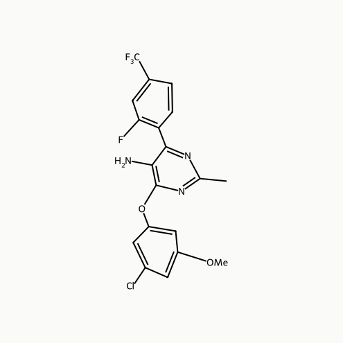 COc1cc(Cl)cc(Oc2nc(C)nc(-c3ccc(C(F)(F)F)cc3F)c2N)c1